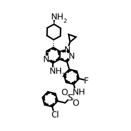 Nc1ncc([C@H]2CC[C@H](N)CC2)c2c1c(-c1ccc(NS(=O)(=O)Cc3ccccc3Cl)c(F)c1)nn2C1CC1